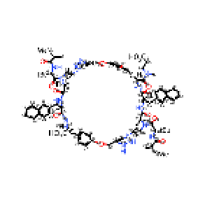 CN[C@@H](C)C(=O)N[C@H](C(=O)N1C[C@@H]2C[C@H]1C(=O)N[C@@H](Cc1ccc3ccccc3c1)C(=O)N[C@H](C(=O)O)Cc1ccc(cc1)OCC1=CN(NN1)[C@H]1C[C@@H](C(=O)N[C@@H](Cc3ccc4ccccc4c3)C(=O)N[C@H](C(=O)N(C)CCC(=O)O)Cc3ccc(cc3)OCc3cn2nn3)N(C(=O)[C@@H](NC(=O)[C@H](C)NC)C(C)(C)C)C1)C(C)(C)C